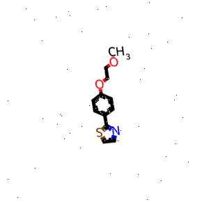 COCCOc1ccc(-c2n[c]cs2)cc1